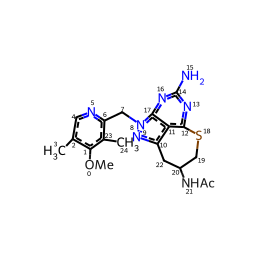 COc1c(C)cnc(Cn2nc3c4c(nc(N)nc42)SCC(NC(C)=O)C3)c1C